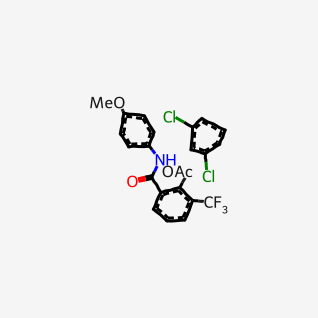 COc1ccc(NC(=O)c2cccc(C(F)(F)F)c2OC(C)=O)cc1.Clc1cccc(Cl)c1